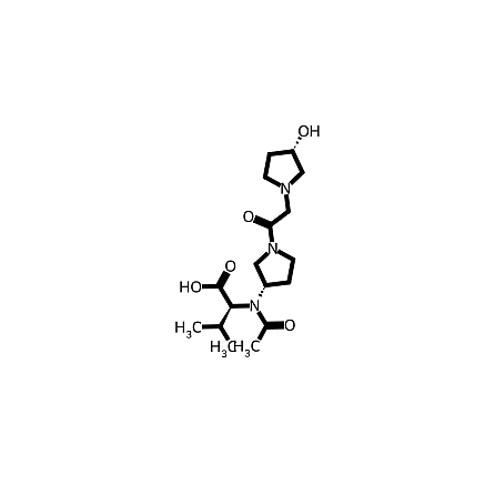 CC(=O)N([C@H]1CCN(C(=O)CN2CC[C@H](O)C2)C1)[C@H](C(=O)O)C(C)C